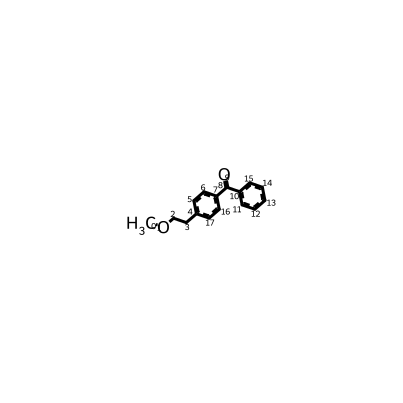 COCCc1ccc(C(=O)c2ccccc2)cc1